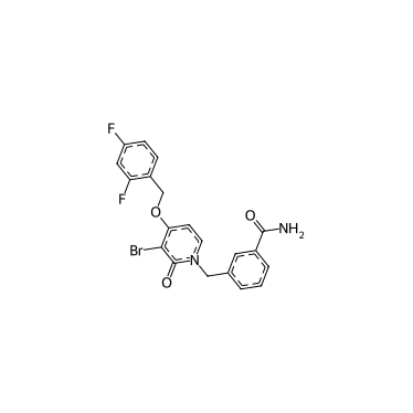 NC(=O)c1cccc(Cn2ccc(OCc3ccc(F)cc3F)c(Br)c2=O)c1